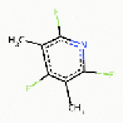 Cc1c(F)nc(F)c(C)c1F